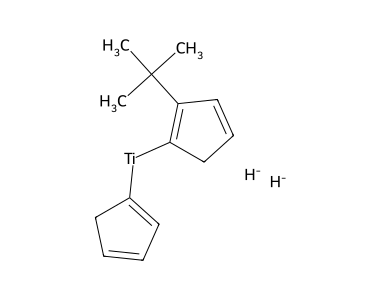 CC(C)(C)C1=[C]([Ti][C]2=CC=CC2)CC=C1.[H-].[H-]